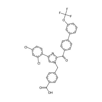 O=C(O)c1ccc(Cn2cc(-c3ccc(Cl)cc3Cl)nc2C(=O)c2ccc(-c3cccc(OC(F)(F)F)c3)cc2)cc1